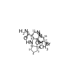 CC1(O)CCCC1Nc1c(C(N)=O)cnn2cc(Br)cc12